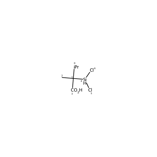 CC(C)C(C)(C(=O)O)[SiH](Cl)Cl